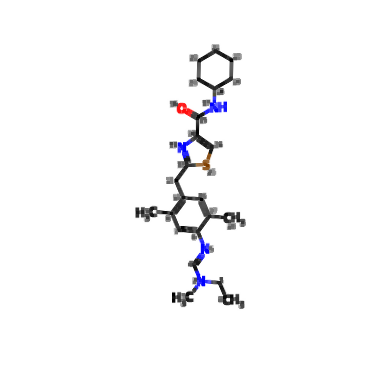 CCN(C)/C=N/c1cc(C)c(Cc2nc(C(=O)NC3CCCCC3)cs2)cc1C